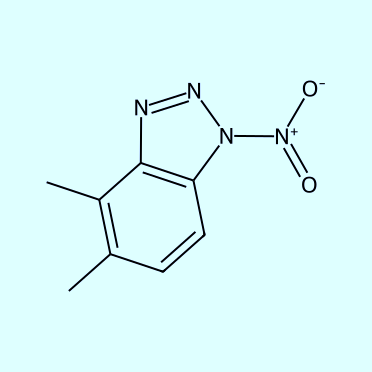 Cc1ccc2c(nnn2[N+](=O)[O-])c1C